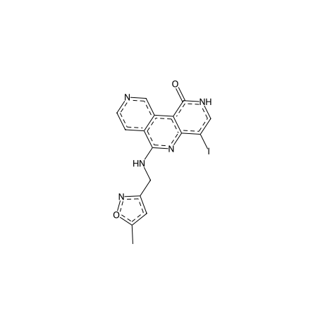 Cc1cc(CNc2nc3c(I)c[nH]c(=O)c3c3cnccc23)no1